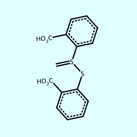 C=S(Sc1ccccc1C(=O)O)c1ccccc1C(=O)O